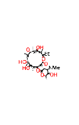 CC[C@H]1OC(=O)[C@H](C)[C@@H](O[C@H]2CC(NC)[C@H](O)C(C)O2)[C@H](C)[C@@H](O)[C@](C)(O)C[C@@H](C)C(=O)[C@H](C)[C@@H](O)[C@H]1C